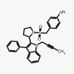 CC#CCn1c(C2CCCN2S(=O)(=O)Cc2ccc(CCC)cc2)c(-c2ccccc2)c2ccccc21